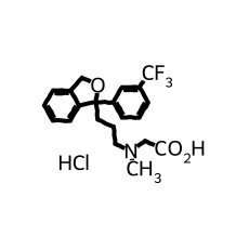 CN(CCCC1(c2cccc(C(F)(F)F)c2)OCc2ccccc21)CC(=O)O.Cl